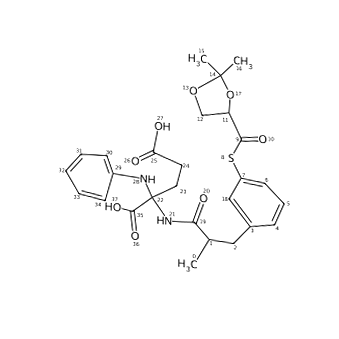 CC(Cc1cccc(SC(=O)C2COC(C)(C)O2)c1)C(=O)NC(CCC(=O)O)(Nc1ccccc1)C(=O)O